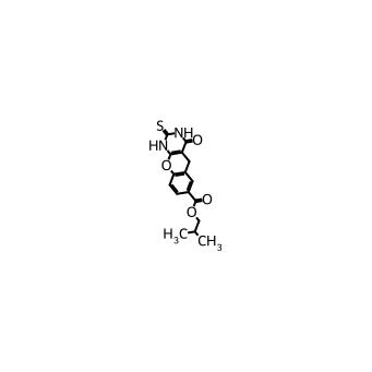 CC(C)COC(=O)c1ccc2c(c1)Cc1c([nH]c(=S)[nH]c1=O)O2